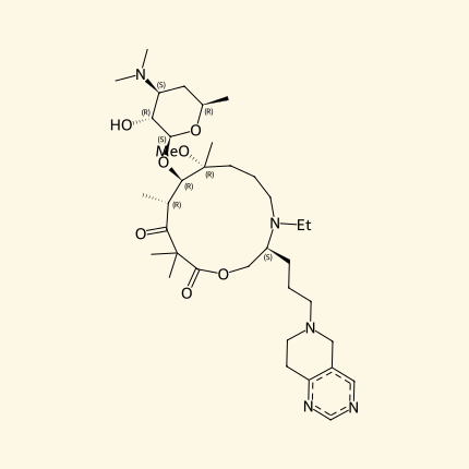 CCN1CCC[C@@](C)(OC)[C@H](O[C@@H]2O[C@H](C)C[C@H](N(C)C)[C@H]2O)[C@@H](C)C(=O)C(C)(C)C(=O)OC[C@@H]1CCCN1CCc2ncncc2C1